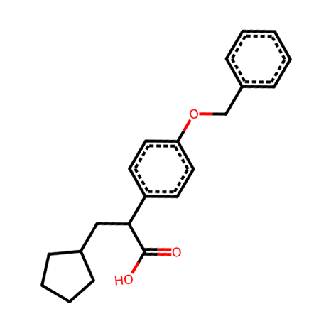 O=C(O)C(CC1CCCC1)c1ccc(OCc2ccccc2)cc1